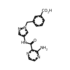 Nc1nccnc1C(=O)Nc1cnn(Cc2cccc(C(=O)O)c2)c1